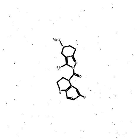 CO[C@H]1CCc2nn(C(=O)C3CCNc4ccc(F)cc43)c(N)c2C1